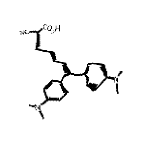 CN(C)c1ccc(C(=CC=CC=C(C#N)C(=O)O)c2ccc(N(C)C)cc2)cc1